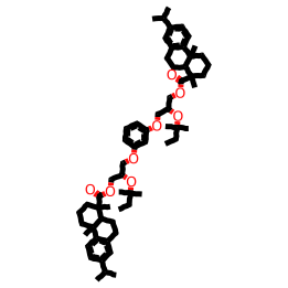 CCC(C)(C)OC(COC(=O)C1(C)CCCC2(C)c3ccc(C(C)C)cc3CCC12)COc1cccc(OCC(COC(=O)C2(C)CCCC3(C)c4ccc(C(C)C)cc4CCC23)OC(C)(C)CC)c1